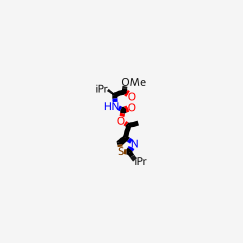 COC(=O)[C@@H](NC(=O)OC(C)c1csc(C(C)C)n1)C(C)C